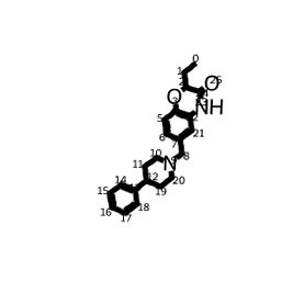 CCC1Oc2ccc(CN3CCC(c4ccccc4)CC3)cc2NC1=O